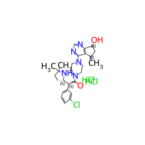 C[C@@H]1C[C@@H](O)c2ncnc(N3CCN(C(=O)[C@@H](c4cccc(Cl)c4)[C@@H]4CCC(C)(C)N4)CC3)c21.Cl.Cl